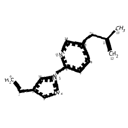 C=Cc1cnn(-c2ccc(CC(=C)C)cn2)c1